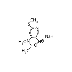 CCN(C)c1cc(SC)ncc1[N+](=O)[O-].[NaH]